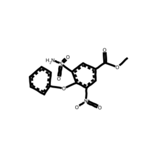 COC(=O)c1cc([N+](=O)[O-])c(Oc2ccccc2)c(S(N)(=O)=O)c1